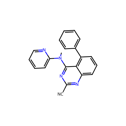 CN(c1ccccn1)c1nc(C#N)nc2cccc(-c3ccccc3)c12